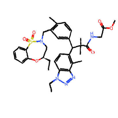 CC[C@@H]1CN(Cc2cc(C(c3ccc4c(nnn4CC)c3C)C(C)(C)C(=O)NCC(=O)OC)ccc2C)S(=O)(=O)c2ccccc2O1